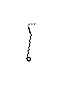 CCCCCCCCCCCC#CC#CCCCCCCCCCCCCc1ccccc1